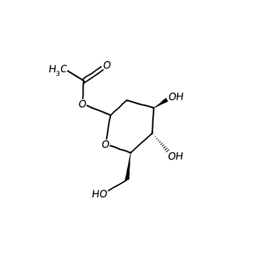 CC(=O)OC1C[C@@H](O)[C@H](O)[C@@H](CO)O1